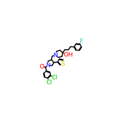 O=C(c1ccc(Cl)c(Cl)c1)N1CC(CN2CCC(O)(CCCc3cccc(F)c3)CC2)C(c2ccsc2)C1